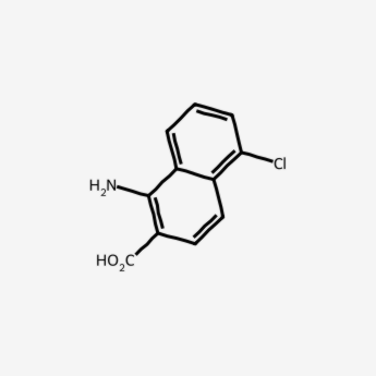 Nc1c(C(=O)O)ccc2c(Cl)cccc12